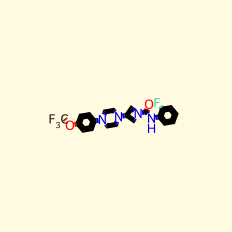 O=C(Nc1ccccc1F)N1CC(N2CCN(c3ccc(OC(F)(F)F)cc3)CC2)C1